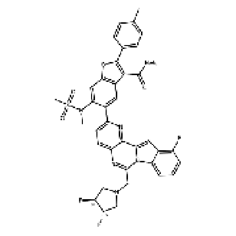 CNC(=O)c1c(-c2ccc(C)cc2)oc2cc(N(C)S(C)(=O)=O)c(-c3ccc4nc(CN5C[C@H](F)[C@@H](F)C5)n5c6cccc(F)c6cc5c4n3)cc12